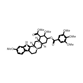 COC(=O)C1C(OC)C(OC(=O)c2cc(OC)c(OC)c(OC)c2)C[C@H]2CN3CCc4c([nH]c5cc(OC)ccc45)[C@@H]3C[C@H]12